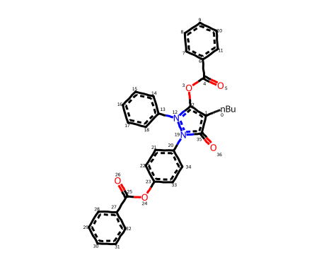 CCCCc1c(OC(=O)c2ccccc2)n(-c2ccccc2)n(-c2ccc(OC(=O)c3ccccc3)cc2)c1=O